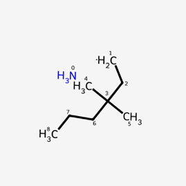 N.[CH2]CC(C)(C)CCC